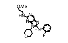 COCCNc1ncc2nc(Nc3ccccc3F)n(C3CCOCC3)c2n1